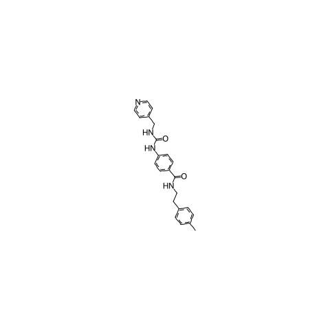 Cc1ccc(CCNC(=O)c2ccc(NC(=O)NCc3ccncc3)cc2)cc1